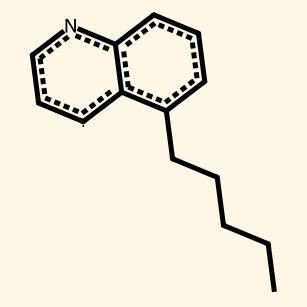 CCCCCc1cccc2ncc[c]c12